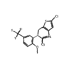 COc1ccc(C(F)(F)F)cc1N1Cc2sc(Cl)cc2N=C1Cl